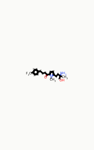 Cn1c(CCC(C)(N)CO)ccc1C(=O)CCCc1ccc(C(F)(F)F)cc1